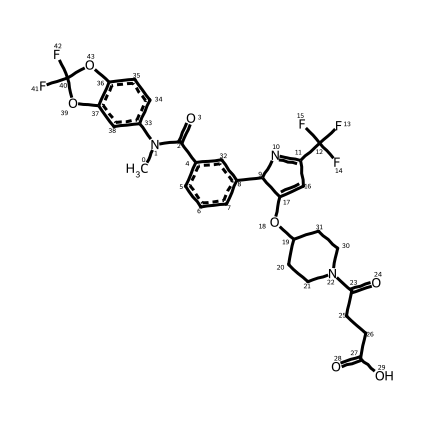 CN(C(=O)c1cccc(C2N=C(C(F)(F)F)C=C2OC2CCN(C(=O)CCC(=O)O)CC2)c1)c1ccc2c(c1)OC(F)(F)O2